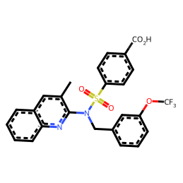 Cc1cc2ccccc2nc1N(Cc1cccc(OC(F)(F)F)c1)S(=O)(=O)c1ccc(C(=O)O)cc1